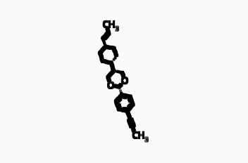 CC#Cc1ccc([C@H]2OC[C@H]([C@H]3CC[C@H](C=CC)CC3)CO2)cc1